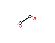 Cn1ccc(C#CC#CC2CCC(CO)C2)cc1=O